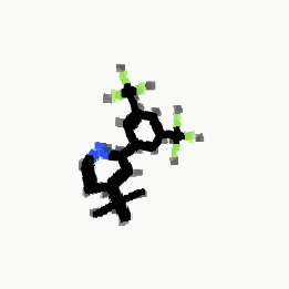 CC(C)(C)c1ccnc(-c2cc(C(F)(F)F)cc(C(F)(F)F)c2)c1